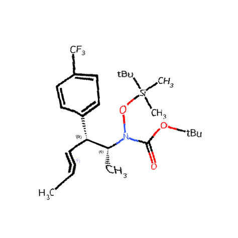 C/C=C/[C@H](c1ccc(C(F)(F)F)cc1)[C@@H](C)N(O[Si](C)(C)C(C)(C)C)C(=O)OC(C)(C)C